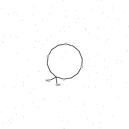 OC1(O)CCOCCOCCCOCCO1